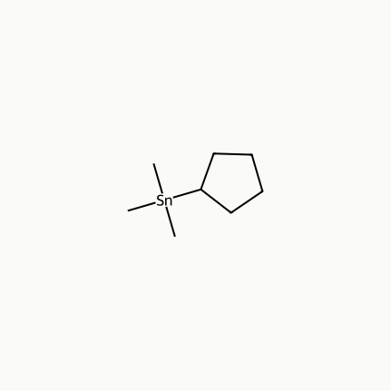 [CH3][Sn]([CH3])([CH3])[CH]1CCCC1